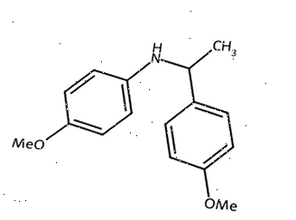 COc1ccc(NC(C)c2ccc(OC)cc2)cc1